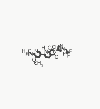 CNc1ncc(-c2ccc3c(n2)C(C)(C)N(c2cnn(CC(F)(F)F)c2)C3=O)cc1OC